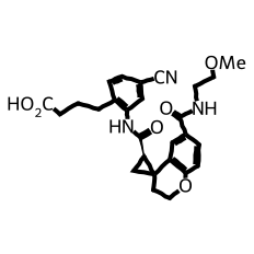 COCCNC(=O)c1ccc2c(c1)C1(CCO2)C[C@H]1C(=O)Nc1cc(C#N)ccc1CCCC(=O)O